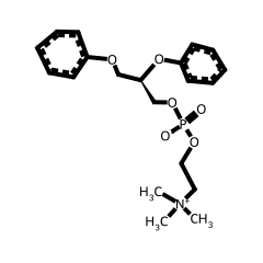 C[N+](C)(C)CCOP(=O)([O-])OC[C@@H](COc1ccccc1)Oc1ccccc1